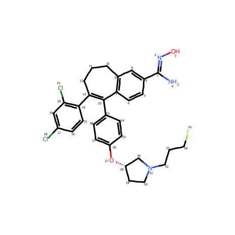 NC(=NO)c1ccc2c(c1)CCCC(c1ccc(Cl)cc1Cl)=C2c1ccc(O[C@H]2CCN(CCCF)C2)cc1